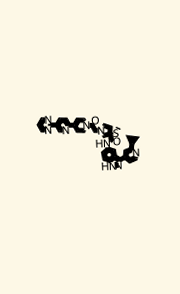 CS[C@@]1(C(=O)Nc2ccc3[nH]nc(-c4ccnc(C5CC5)c4)c3c2)CCN(CC(=O)N2CC=C(c3ccc(-c4ncccn4)cn3)CC2)C1